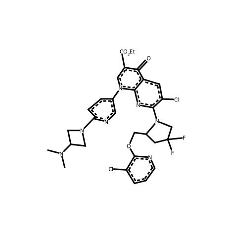 CCOC(=O)c1cn(-c2ccc(N3CC(N(C)C)C3)nc2)c2nc(N3CC(F)(F)CC3COc3ncccc3Cl)c(Cl)cc2c1=O